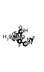 C[C@H]1CN(c2cc(F)c(C3=CCCN(c4ncc(F)cn4)C3)c(F)c2NC(=O)c2c[nH]c(=O)cc2C(F)F)CCN1C